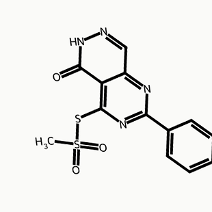 CS(=O)(=O)Sc1nc(-c2ccccc2)nc2cn[nH]c(=O)c12